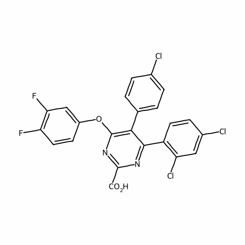 O=C(O)c1nc(Oc2ccc(F)c(F)c2)c(-c2ccc(Cl)cc2)c(-c2ccc(Cl)cc2Cl)n1